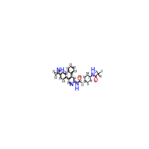 CC(C)(C)C(=O)N[C@H]1CC[C@H](CC(=O)Nc2cc(-c3ccccc3)c(-c3ccc(C4(N)CC4)cc3)cn2)CC1